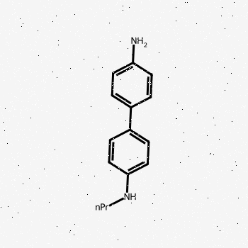 CCCNc1ccc(-c2ccc(N)cc2)cc1